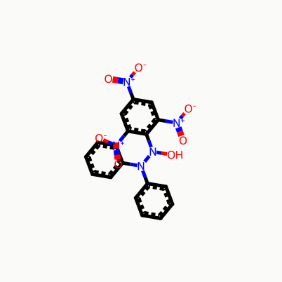 O=[N+]([O-])c1cc([N+](=O)[O-])c(N(O)N(c2ccccc2)c2ccccc2)c([N+](=O)[O-])c1